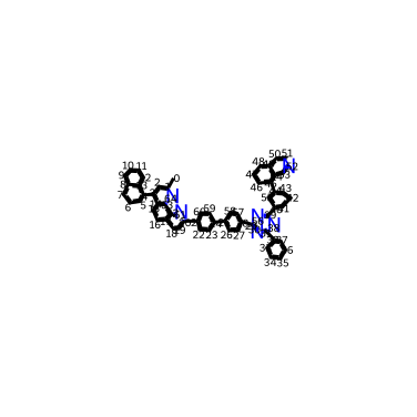 Cc1cc(-c2cccc3ccccc23)c2ccc3ccc(-c4ccc(-c5ccc(-c6nc(-c7ccccc7)nc(-c7cccc(-c8cccc9ccncc89)c7)n6)cc5)cc4)nc3c2n1